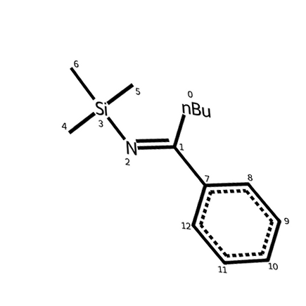 CCCCC(=N[Si](C)(C)C)c1ccccc1